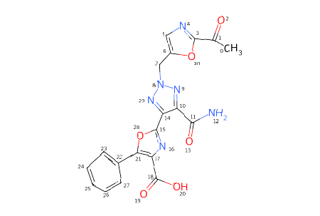 CC(=O)c1ncc(Cn2nc(C(N)=O)c(-c3nc(C(=O)O)c(-c4ccccc4)o3)n2)o1